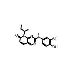 CCC(C)n1c(=O)ccc2cnc(Nc3ccc(O)c(Cl)c3)nc21